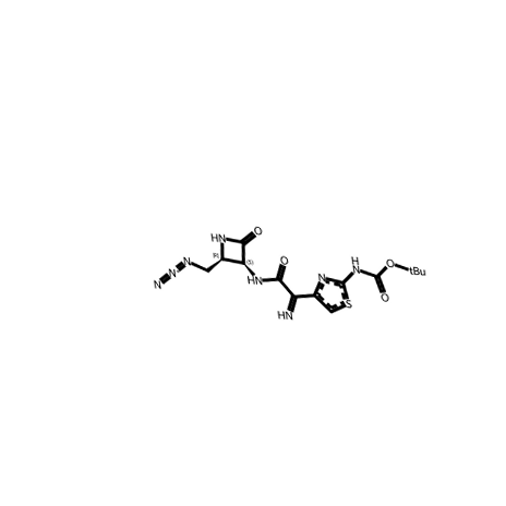 CC(C)(C)OC(=O)Nc1nc(C(=N)C(=O)N[C@@H]2C(=O)N[C@@H]2CN=[N+]=[N-])cs1